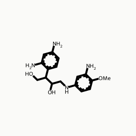 COc1ccc(NCC(O)C(CO)c2ccc(N)cc2N)cc1N